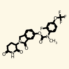 CN(C(=O)Oc1ccc2c(c1)C(=O)N(C1CCC(=O)NC1=O)C2)c1ccc(OC(F)(F)F)cc1F